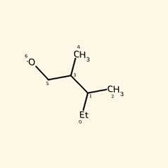 CCC(C)C(C)C[O]